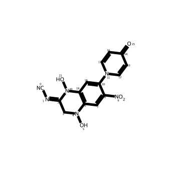 N#CN=C1CN(O)c2cc([N+](=O)[O-])c(-n3ccc(=O)cc3)cc2N1O